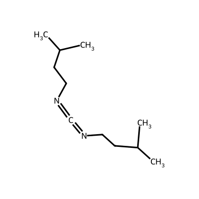 CC(C)CCN=C=NCCC(C)C